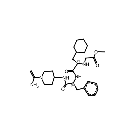 C=C(N)N1CCC(NC(=O)[C@H](Cc2ccccc2)NC(=O)[C@@H](CC2CCCCC2)NCC(=O)OC)CC1